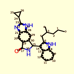 CCCC(C)Cc1[nH]c2ccccc2c1C1NC(=O)c2cc3nc(C4CC4)[nH]c3cc21